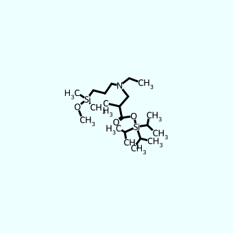 CCN(CCC[Si](C)(C)OC)CC(C)C(=O)O[Si](C(C)C)(C(C)C)C(C)C